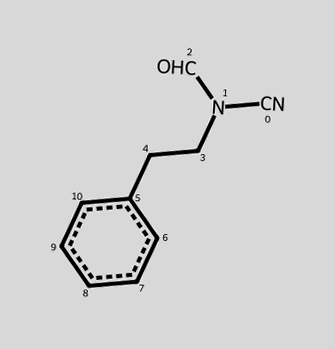 N#CN(C=O)CCc1ccccc1